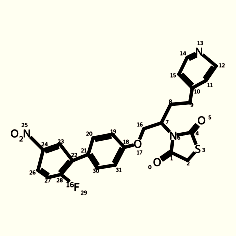 O=C1CSC(=O)N1C(CCc1ccncc1)COc1ccc(-c2cc([N+](=O)[O-])ccc2[16F])cc1